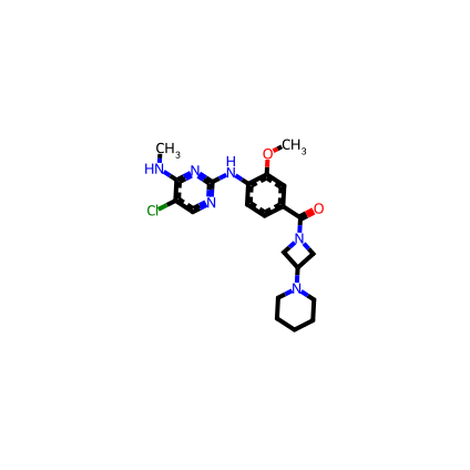 CNc1nc(Nc2ccc(C(=O)N3CC(N4CCCCC4)C3)cc2OC)ncc1Cl